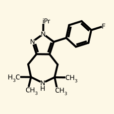 CC(C)n1nc2c(c1-c1ccc(F)cc1)CC(C)(C)NC(C)(C)C2